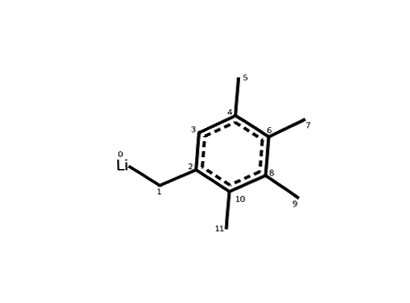 [Li][CH2]c1cc(C)c(C)c(C)c1C